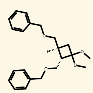 COC1(OC)C[C@](F)(COCc2ccccc2)[C@H]1COCc1ccccc1